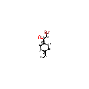 CCC1CCC(C(=O)CBr)CC1